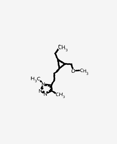 CCC1C(CCc2c(C)nnn2C)C1COC